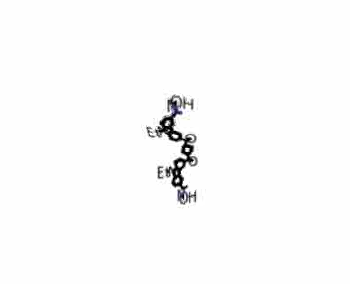 CCn1c2ccc(C(=O)c3ccc(C(=O)c4ccc5c(c4)c4cc(/C(C)=N/O)ccc4n5CC)cc3)cc2c2cc(/C(C)=N/O)ccc21